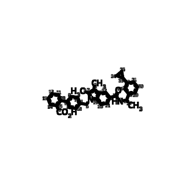 Cc1c(C)n(Cc2ccc(-c3ccccc3C(=O)O)cc2)c2ccc(C(=O)NC(C)c3cccc(C4CC4)c3)cc12